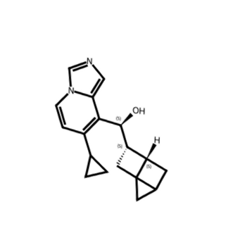 O[C@H](c1c(C2CC2)ccn2cncc12)[C@H]1CC23CC2C[C@@H]13